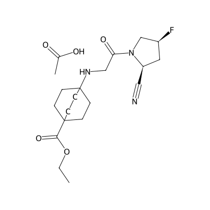 CC(=O)O.CCOC(=O)C12CCC(NCC(=O)N3C[C@@H](F)C[C@H]3C#N)(CC1)CC2